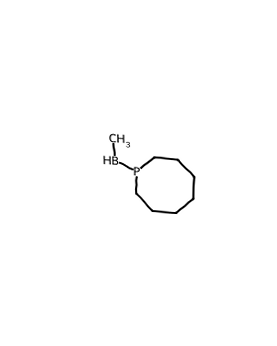 CBP1CCCCCCC1